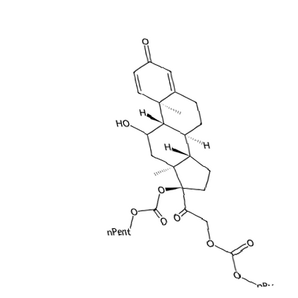 CCCCCOC(=O)O[C@]1(C(=O)COC(=O)OCCCC)CC[C@H]2[C@@H]3CCC4=CC(=O)C=C[C@]4(C)[C@H]3C(O)C[C@@]21C